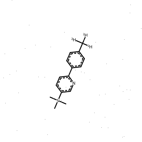 [2H]C([2H])([2H])c1ccc(-c2ccc([Si](C)(C)C)cn2)cc1